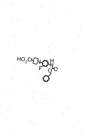 O=C(Nc1ccc(N2CCN(C(=O)O)CC2)c(F)c1)OCc1ccccc1